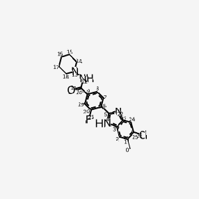 Cc1cc2[nH]c(-c3ccc(C(=O)NN4CCCCC4)cc3F)nc2cc1Cl